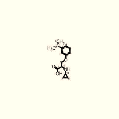 CN(C)c1cccc(OCC(NC2CC2)C(=O)O)c1